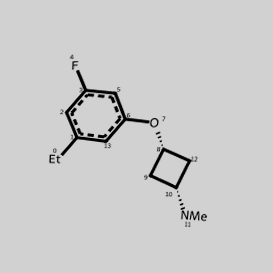 CCc1cc(F)cc(O[C@H]2C[C@@H](NC)C2)c1